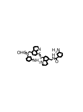 Nc1cccc(C(=O)NCc2ccc(SSc3ccc(CN(C=O)c4cccc(N)c4)c4cccnc34)c3ncccc23)c1